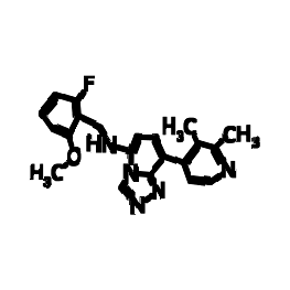 COc1cccc(F)c1CNc1ccc(-c2ccnc(C)c2C)c2nncn12